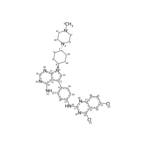 CN1CCN([C@H]2CC[C@H](n3cc(-c4ccc(Nc5nc(Cl)c6cc(Cl)ccc6n5)cc4)c4c(N)ncnc43)CC2)CC1